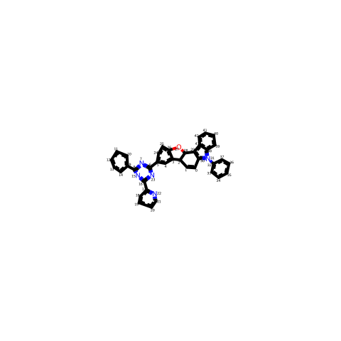 C1=CC2c3cc(-c4nc(-c5ccccc5)nc(-c5ccccn5)n4)ccc3OC2c2c1n(-c1ccccc1)c1ccccc21